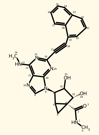 CNC(=O)[C@]12CC1[C@@H](n1cnc3c(NC)nc(C#Cc4cccc5ccccc45)nc31)C(O)[C@@H]2O